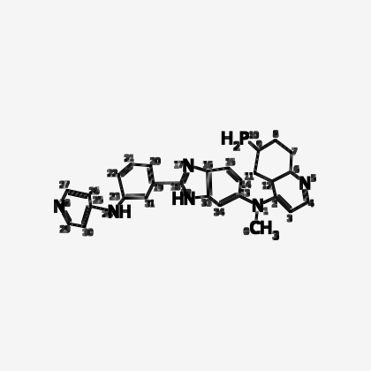 CN(C1=CC=NC2CCC(P)CC12)c1ccc2nc(-c3cccc(Nc4ccncc4)c3)[nH]c2c1